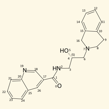 O=C(NC[C@H](O)CN1CCc2ccccc2C1)c1cnc2ccccc2c1